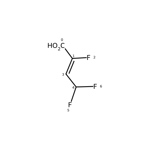 O=C(O)C(F)=CC(F)F